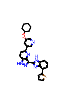 c1csc(-c2cccc3[nH]c(-c4n[nH]c5ccc(-c6cncc(OC7CCCCC7)c6)nc45)nc23)c1